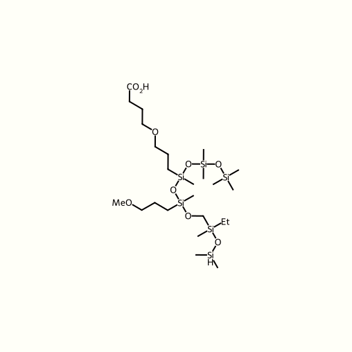 CC[Si](C)(CO[Si](C)(CCCOC)O[Si](C)(CCCOCCCC(=O)O)O[Si](C)(C)O[Si](C)(C)C)O[SiH](C)C